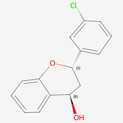 O[C@@H]1C[C@@H](c2cccc(Cl)c2)Oc2ccccc21